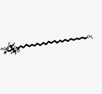 CCCCCCCCCCCCCCCCCCCCCCCCCC(=O)OC(CS(=O)(=O)O)(C(F)(F)F)C(F)(F)F